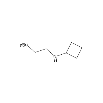 CCCCCCNC1CCC1